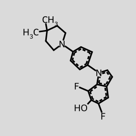 CC1(C)CCN(c2ccc(-n3ccc4cc(F)c(O)c(F)c43)cc2)CC1